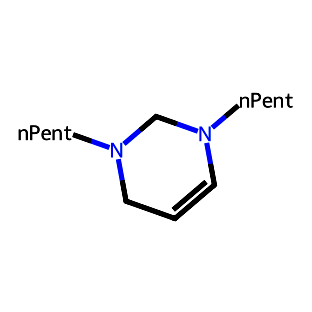 CCCCCN1C=CCN(CCCCC)C1